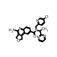 CC(c1ncccn1)N(Cc1ccc(Cl)cn1)C(=O)c1ccc2nc(N)c3c(c2c1)COC3